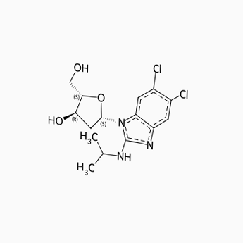 CC(C)Nc1nc2cc(Cl)c(Cl)cc2n1[C@@H]1C[C@@H](O)[C@H](CO)O1